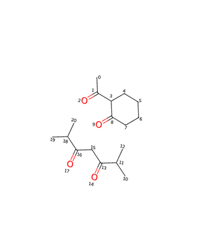 CC(=O)C1CCCCC1=O.CC(C)C(=O)CC(=O)C(C)C